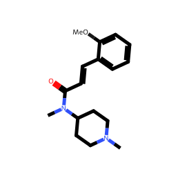 COc1ccccc1/C=C/C(=O)N(C)C1CCN(C)CC1